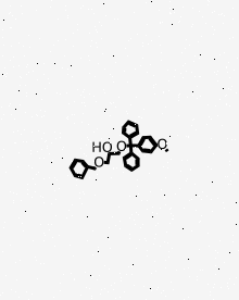 COc1ccc(C(OCC(O)COCc2ccccc2)(c2ccccc2)c2ccccc2)cc1